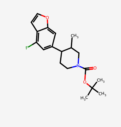 CC1CN(C(=O)OC(C)(C)C)CCC1c1cc(F)c2ccoc2c1